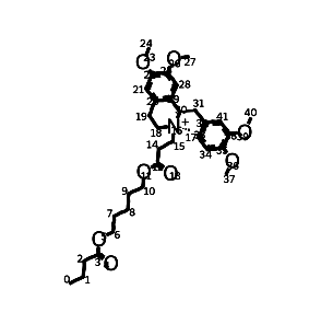 CCCC(=O)OCCCCCOC(=O)CC[N@@+]1(C)CCc2cc(OC)c(OC)cc2[C@H]1Cc1ccc(OC)c(OC)c1